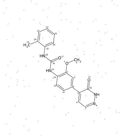 COc1cc(-c2ccn[nH]c2=O)ccc1NC(=O)Nc1ccccc1C